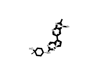 Cc1nc2ncc(-c3ccn4nc(N[C@H]5CC[C@@](C)(O)CC5)ncc34)cc2n1C(C)C